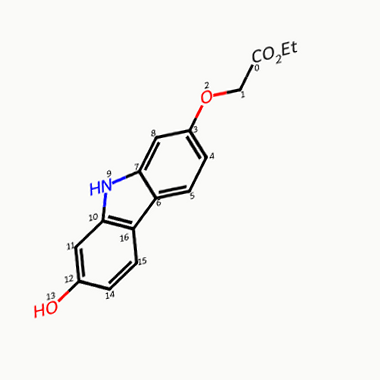 CCOC(=O)COc1ccc2c(c1)[nH]c1cc(O)ccc12